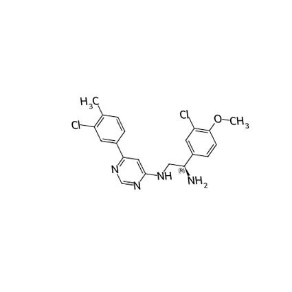 COc1ccc([C@@H](N)CNc2cc(-c3ccc(C)c(Cl)c3)ncn2)cc1Cl